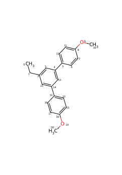 CCc1cc(-c2ccc(OC)cc2)cc(-c2ccc(OC)cc2)c1